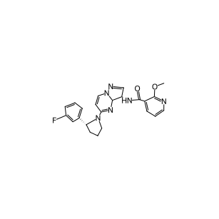 COc1ncccc1C(=O)NC1C=NN2C=CC(N3CCC[C@@H]3c3cccc(F)c3)=NC12